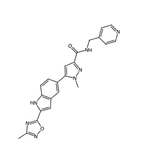 Cc1noc(-c2cc3cc(-c4cc(C(=O)NCc5ccncc5)nn4C)ccc3[nH]2)n1